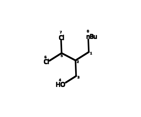 CCCCCC(CO)C(Cl)Cl